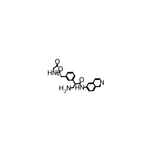 NCC(C(=O)Nc1ccc2cnccc2c1)c1cccc(CB2NCC(=O)O2)c1